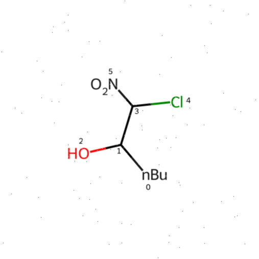 CCCCC(O)C(Cl)[N+](=O)[O-]